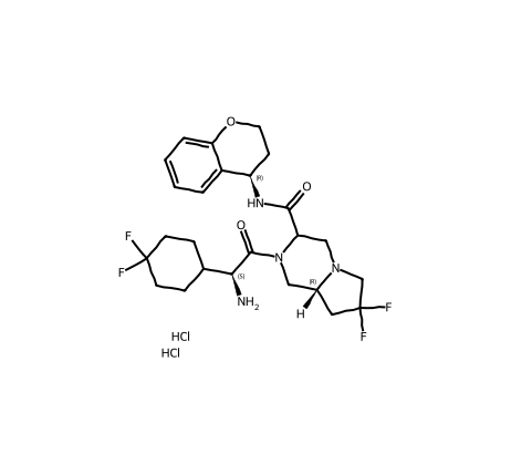 Cl.Cl.N[C@H](C(=O)N1C[C@H]2CC(F)(F)CN2CC1C(=O)N[C@@H]1CCOc2ccccc21)C1CCC(F)(F)CC1